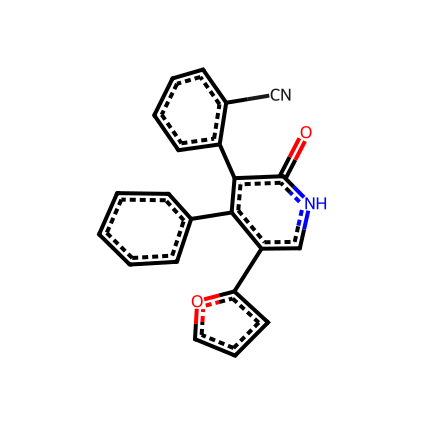 N#Cc1ccccc1-c1c(-c2ccccc2)c(-c2ccco2)c[nH]c1=O